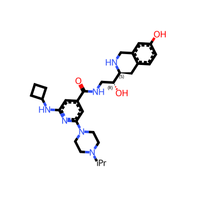 CC(C)N1CCN(c2cc(C(=O)NC[C@@H](O)[C@@H]3Cc4ccc(O)cc4CN3)cc(NC3CCC3)n2)CC1